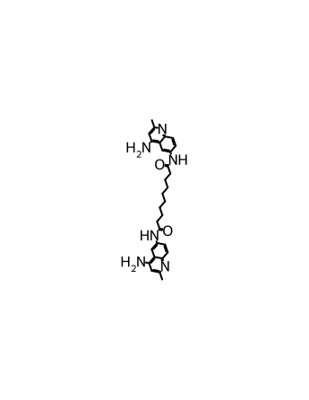 Cc1cc(N)c2cc(NC(=O)CCCCCCCCC(=O)Nc3ccc4nc(C)cc(N)c4c3)ccc2n1